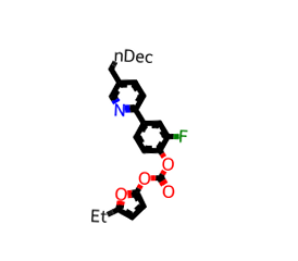 CCCCCCCCCCCc1ccc(-c2ccc(OC(=O)Oc3ccc(CC)o3)c(F)c2)nc1